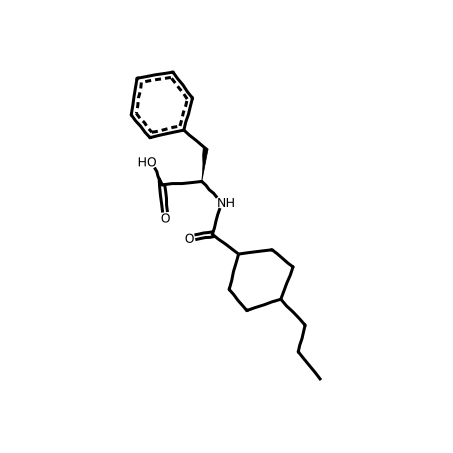 CCCC1CCC(C(=O)N[C@H](Cc2ccccc2)C(=O)O)CC1